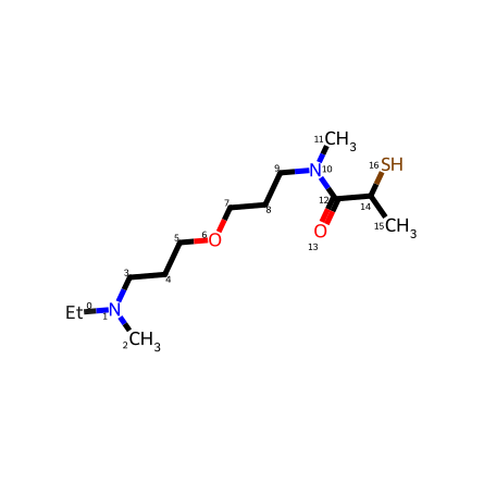 CCN(C)CCCOCCCN(C)C(=O)C(C)S